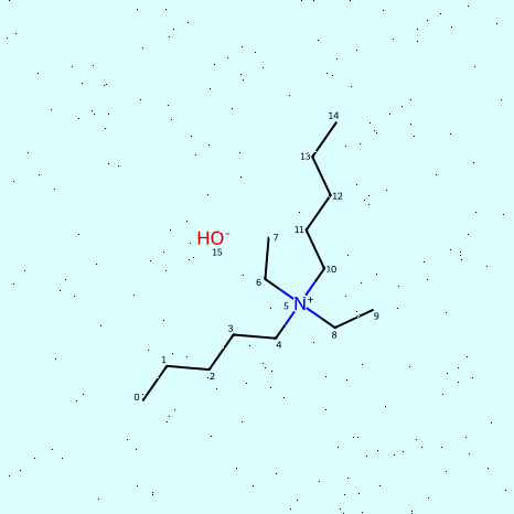 CCCCC[N+](CC)(CC)CCCCC.[OH-]